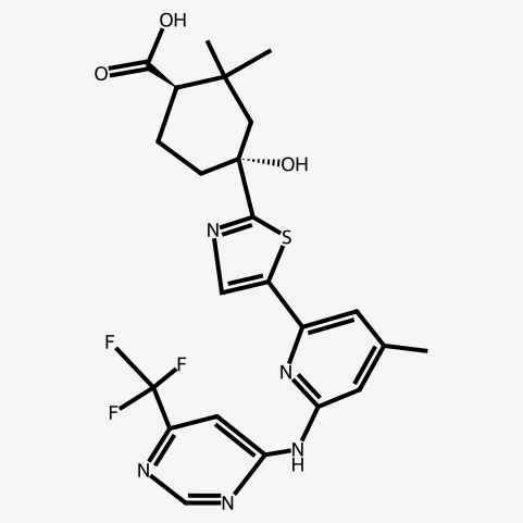 Cc1cc(Nc2cc(C(F)(F)F)ncn2)nc(-c2cnc([C@@]3(O)CC[C@@H](C(=O)O)C(C)(C)C3)s2)c1